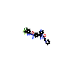 O=C(Nc1ccc(-c2cn(C(=O)NCCN3CCCCC3)c3ccncc23)cc1)Nc1ccc(Cl)c(C(F)(F)F)c1